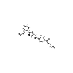 CCCC(=O)c1ccc(NCc2cnc(-c3ccccc3OC)s2)cc1